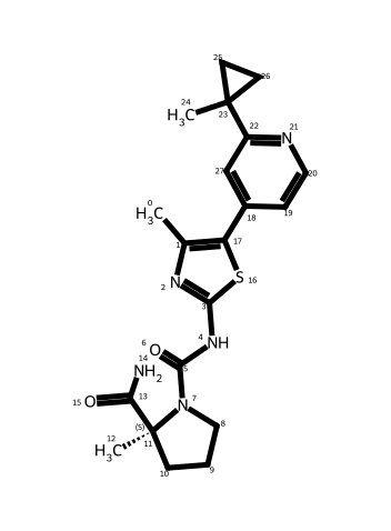 Cc1nc(NC(=O)N2CCC[C@@]2(C)C(N)=O)sc1-c1ccnc(C2(C)CC2)c1